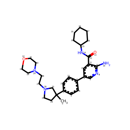 CC1(c2ccc(-c3cnc(N)c(C(=O)NC4CCCCC4)c3)cc2)CCN(CCN2CCOCC2)C1